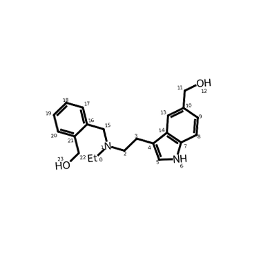 CCN(CCc1c[nH]c2ccc(CO)cc12)Cc1ccccc1CO